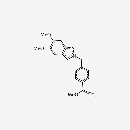 C=C(OC)c1ccc(Cn2cc3cc(OC)c(OC)cc3n2)cc1